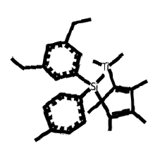 CCc1cc(CC)cc([Si](C)(c2ccc(C)cc2)C2(C)C(C)=C(C)C(C)=[C]2[Ti]([CH3])[CH3])c1